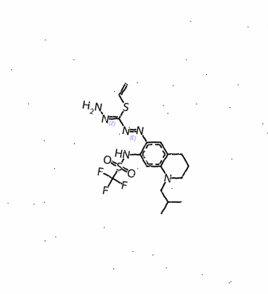 C=CSC(=N\N)/N=N/c1cc2c(cc1NS(=O)(=O)C(F)(F)F)N(CC(C)C)CCC2